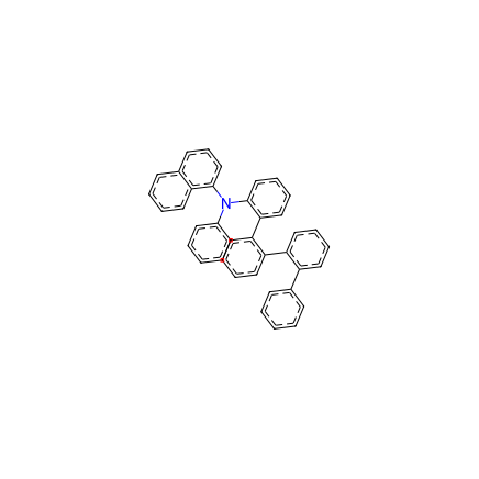 c1ccc(-c2ccccc2-c2ccccc2-c2ccccc2N(c2ccccc2)c2cccc3ccccc23)cc1